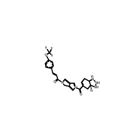 O=C(/C=C/c1ccc(OC(F)(F)F)cc1)N1C=C2C=[N+](C(=O)C3=CCC4NNN[C@@H]4C3)C=C2C1